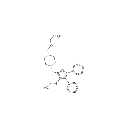 N#CCSc1c(-c2ccccc2)c(-c2ccccc2)nn1C[C@H]1CC[C@@H](COCC(=O)O)CC1